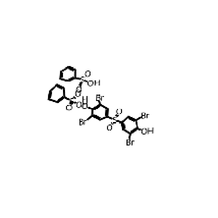 O=S(=O)(O)c1ccccc1.O=S(=O)(O)c1ccccc1.O=S(=O)(c1cc(Br)c(O)c(Br)c1)c1cc(Br)c(O)c(Br)c1